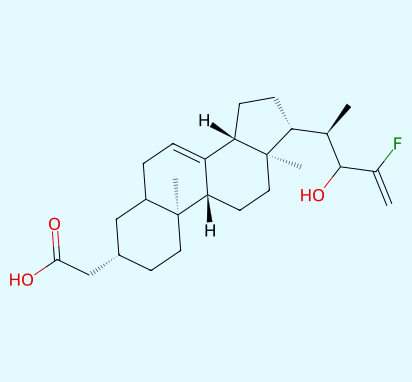 C=C(F)C(O)[C@H](C)[C@H]1CC[C@H]2C3=CCC4C[C@@H](CC(=O)O)CC[C@]4(C)[C@H]3CC[C@]12C